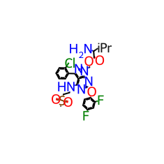 CC(C)C(N)C(=O)OCn1nc(-c2ccccc2Cl)c2c(NCCS(C)(=O)=O)nc(Oc3ccc(F)cc3F)nc21